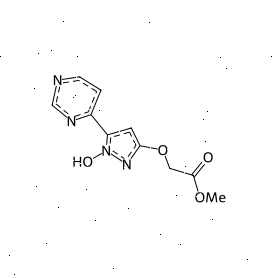 COC(=O)COc1cc(-c2ccncn2)n(O)n1